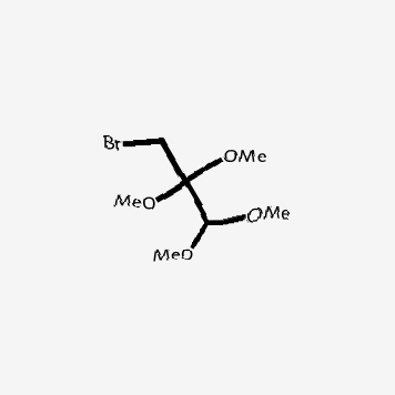 COC(OC)C(CBr)(OC)OC